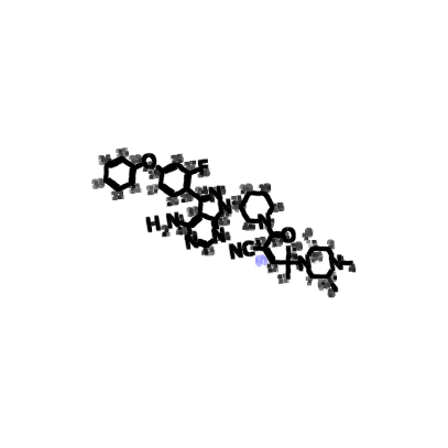 C[C@@H]1CN(C)[C@@H](C)CN1C(C)(C)/C=C(/C#N)C(=O)N1CCC[C@@H](n2nc(-c3ccc(Oc4ccccc4)cc3F)c3c(N)ncnc32)C1